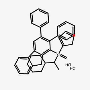 Cl.Cl.[CH2]=[Zr]([C]1=CC=CC1)([c]1c2c(cc(-c3ccccc3)c1-c1ccccc1)-c1ccccc1C2)[CH](C)C1CCCCC1